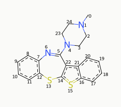 CN1CCN(C2=Nc3ccccc3Sc3sc4ccccc4c32)CC1